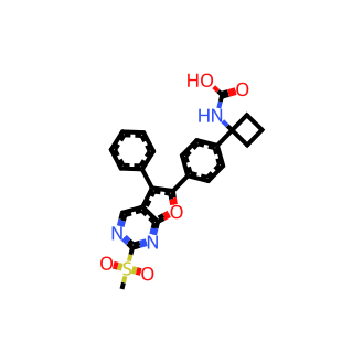 CS(=O)(=O)c1ncc2c(-c3ccccc3)c(-c3ccc(C4(NC(=O)O)CCC4)cc3)oc2n1